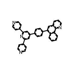 c1cnc2c(c1)cc(-c1ccc(-c3cc(-c4ccncc4)nc(-c4ccncc4)c3)cc1)c1ccccc12